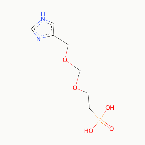 O=P(O)(O)CCOCOCc1c[nH]cn1